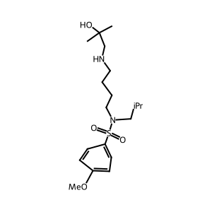 COc1ccc(S(=O)(=O)N(CCCCNCC(C)(C)O)CC(C)C)cc1